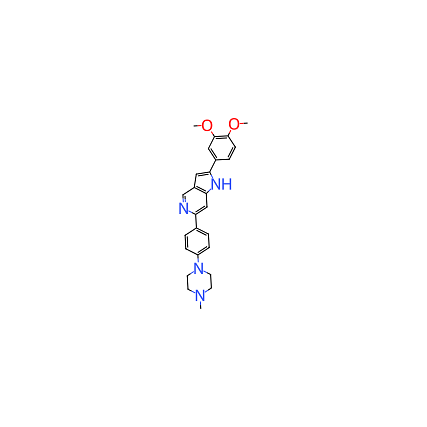 COc1ccc(-c2cc3cnc(-c4ccc(N5CCN(C)CC5)cc4)cc3[nH]2)cc1OC